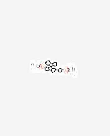 CC1(C)OB(c2ccc(-c3ccc4c(c3)C3(c5ccccc5-c5ccccc53)c3cc(B5OC(C)(C)C(C)(C)O5)ccc3-4)cc2)OC1(C)C